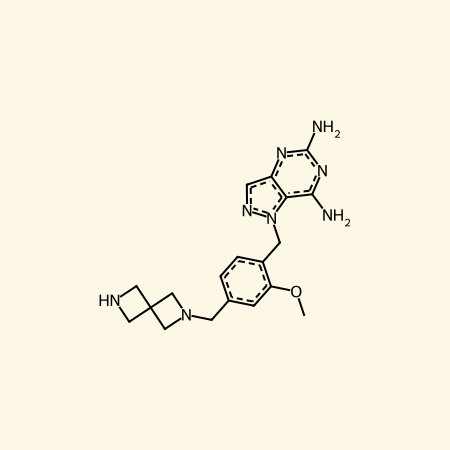 COc1cc(CN2CC3(CNC3)C2)ccc1Cn1ncc2nc(N)nc(N)c21